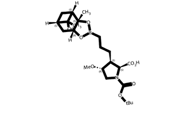 CO[C@H]1CN(C(=O)OC(C)(C)C)[C@H](C(=O)O)[C@@H]1CCCB1O[C@@H]2C[C@@H]3C[C@@H](C3(C)C)[C@]2(C)O1